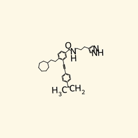 C=C(C)c1ccc(C#Cc2cc(C(=O)NCCCc3cn[nH]c3)ccc2CCC2CCCCCC2)cc1